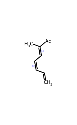 C=C/C=C\C=C(/C)C(C)=O